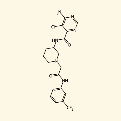 Nc1ncnc(C(=O)NC2CCCN(CC(=O)Nc3cccc(C(F)(F)F)c3)C2)c1Cl